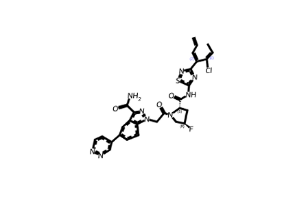 C=C/C=C(\C(Cl)=C/C)c1nsc(NC(=O)[C@@H]2C[C@@H](F)CN2C(=O)Cn2nc(C(N)=O)c3cc(-c4ccnnc4)ccc32)n1